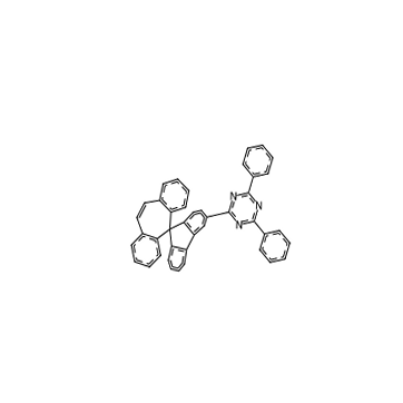 C1=Cc2ccccc2C2(c3ccccc31)c1ccccc1-c1cc(-c3nc(-c4ccccc4)nc(-c4ccccc4)n3)ccc12